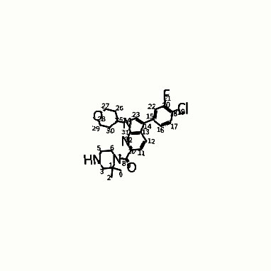 CC1(C)CNCCN1C(=O)c1ccc2c(-c3ccc(Cl)c(F)c3)cn(C3CCOCC3)c2n1